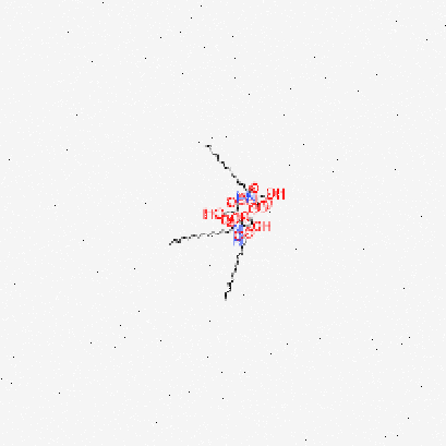 CCCCCCCCCCCCCC(=O)N[C@H]1[C@@H](OC(CC(=O)O)CC(=O)O)O[C@H](COC(=O)[C@@H](CC(=O)O)NC(=O)CCCCCCCCCCCCC)[C@@H](O)[C@@H]1OC(=O)CCCCCCCCCCCCC